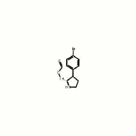 Brc1ccc(C2CCNC2)cc1.COC=O